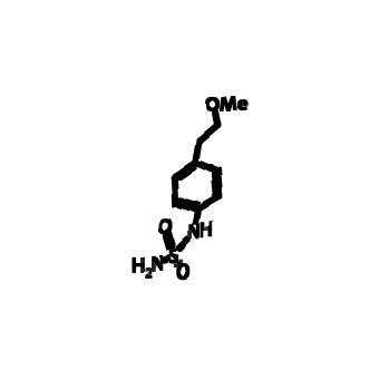 COCCc1ccc(NS(N)(=O)=O)cc1